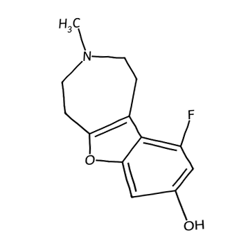 CN1CCc2oc3cc(O)cc(F)c3c2CC1